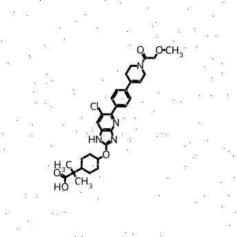 COCC(=O)N1CC=C(c2ccc(-c3nc4nc(OC5CCC(C(C)(C)C(=O)O)CC5)[nH]c4cc3Cl)cc2)CC1